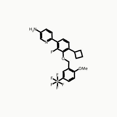 COc1ccc(S(F)(F)(F)(F)F)cc1COc1c(C2CCC2)ccc(-c2ccc(N)cn2)c1F